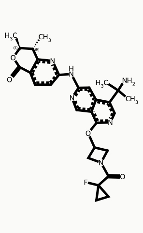 C[C@@H]1OC(=O)c2ccc(Nc3cc4c(C(C)(C)N)cnc(OC5CN(C(=O)C6(F)CC6)C5)c4cn3)nc2[C@H]1C